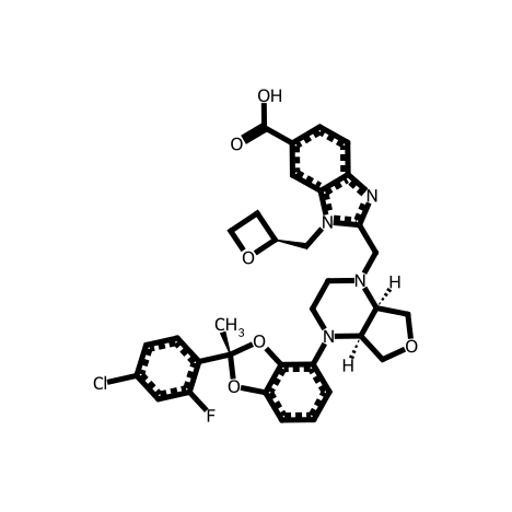 C[C@]1(c2ccc(Cl)cc2F)Oc2cccc(N3CCN(Cc4nc5ccc(C(=O)O)cc5n4C[C@@H]4CCO4)[C@H]4COC[C@H]43)c2O1